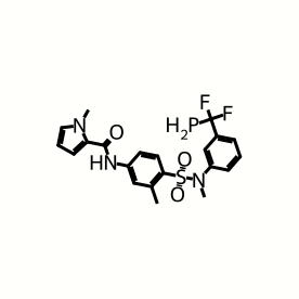 Cc1cc(NC(=O)c2cccn2C)ccc1S(=O)(=O)N(C)c1cccc(C(F)(F)P)c1